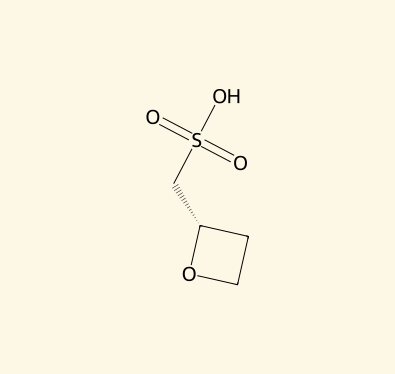 O=S(=O)(O)C[C@@H]1CCO1